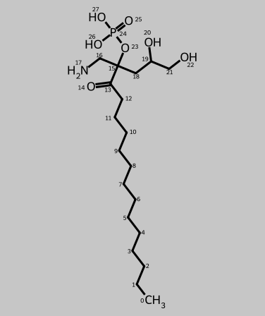 CCCCCCCCCCCCCC(=O)C(CN)(CC(O)CO)OP(=O)(O)O